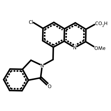 COc1nc2c(CN3Cc4ccccc4C3=O)cc(Cl)cc2cc1C(=O)O